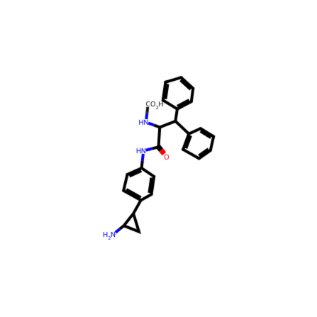 NC1CC1c1ccc(NC(=O)C(NC(=O)O)C(c2ccccc2)c2ccccc2)cc1